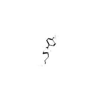 CC(C)c1ccc(-c2nc(CCCO)cs2)cc1